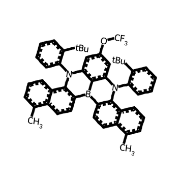 Cc1cccc2c3c(ccc12)B1c2ccc4c(C)cccc4c2N(c2ccccc2C(C)(C)C)c2cc(OC(F)(F)F)cc(c21)N3c1ccccc1C(C)(C)C